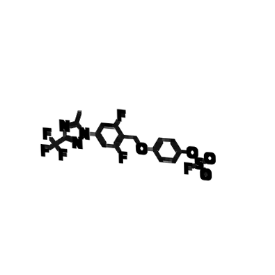 Cc1nc(C(F)(F)F)nn1-c1cc(F)c(COc2ccc(OS(=O)(=O)F)cc2)c(F)c1